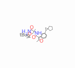 Cc1oc2ccc(C3CC34CCCC4)cc2c1C(=O)NC(C)(CO[Si](C)(C)C(C)(C)C)C(N)=O